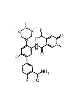 C[C@@H]1CN(c2cc(F)c(-c3ccc(F)c(C(N)=O)c3)cc2NC(=O)c2cn(C)c(=O)cc2C(F)F)C[C@H](C)N1C